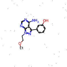 CCOCCn1nc(-c2cccc(O)c2)c2c(N)ncnc21